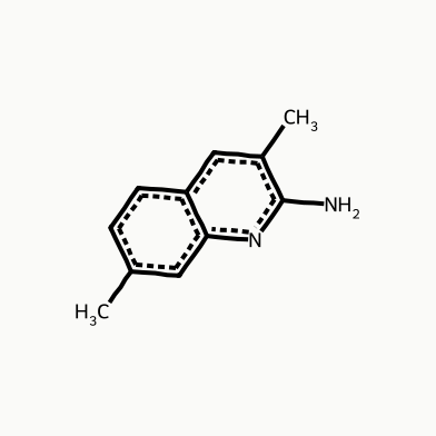 Cc1ccc2cc(C)c(N)nc2c1